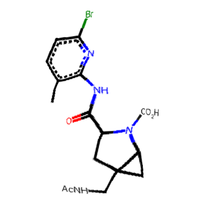 CC(=O)NCC12CC(C(=O)Nc3nc(Br)ccc3C)N(C(=O)O)C1C2